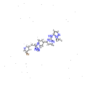 Cn1nccc1NC1N=C(c2ccn3c(Cc4cncc(Br)c4)nnc3c2)C=CN1